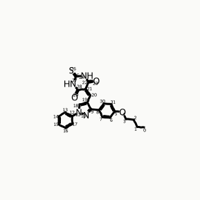 CCCCOc1ccc(-c2nn(-c3ccccc3)cc2C=C2C(=O)NC(=S)NC2=O)cc1